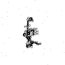 C[C@H]1CCC[N+](Cc2ccc(O[C@@H]3O[C@H](C(=O)O)[C@@H](O)[C@H](O)[C@H]3O)c(C(=O)NCCNC(=O)CCCC(=O)ON3C(=O)CCC3=O)c2)(Cc2cc3c(c(C(F)(F)F)c2)CN(c2cc(C4(Cc5nncn5C)COC4)cc(NCCN=[N+]=[N-])n2)C3=O)C1